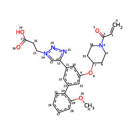 C=CC(=O)N1CCC(Oc2cc(-c3cn(CCC(=O)O)nn3)cc(-c3ccccc3OC)c2)CC1